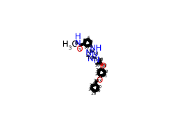 CNC(=O)c1cccc(Nc2ncnc(N3CC(Oc4ccc(OCc5ccccc5)cc4)C3)n2)c1